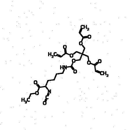 C=CC(=O)OCC(COC(=O)C=C)(COC(=O)C=C)COC(=O)NCCCCC(N=C=O)C(=O)OCC